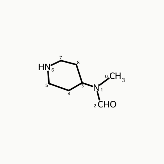 CN(C=O)C1CCNCC1